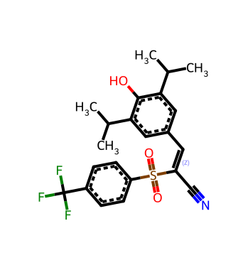 CC(C)c1cc(/C=C(/C#N)S(=O)(=O)c2ccc(C(F)(F)F)cc2)cc(C(C)C)c1O